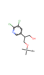 CC(C)(C)[Si](C)(C)OCC(CO)c1cnc(Cl)c(Cl)c1